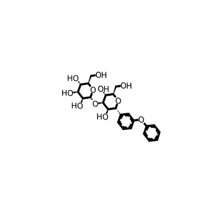 OC[C@H]1O[C@H](O[C@@H]2[C@H](O)[C@@H](c3cccc(Oc4ccccc4)c3)O[C@H](CO)[C@H]2O)[C@@H](O)[C@@H](O)[C@@H]1O